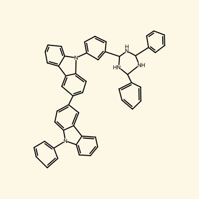 c1ccc(C2NC(c3ccccc3)NC(c3cccc(-n4c5ccccc5c5cc(-c6ccc7c(c6)c6ccccc6n7-c6ccccc6)ccc54)c3)N2)cc1